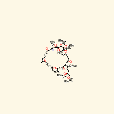 C=C1CC2CCC(=O)/C=C/C(O[Si](C)(C)C(C)(C)C)[C@@H]3O[C@H]4CCC(CC(=O)CC5[C@@H](OC)C(C[C@@H](CO[Si](C)(C)C(C)(C)C)O[Si](C)(C)C(C)(C)C)O[C@H]5CC5O[C@@H](CCC1O2)C[C@@H](C)C5=C)O[C@@H]4C(O[Si](C)(C)C(C)(C)C)C3O[Si](C)(C)C(C)(C)C